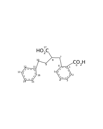 O=C(O)c1ccccc1CC(CCc1ccccc1)C(=O)O